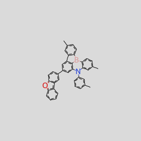 Cc1cccc(N2c3cc(C)ccc3B3c4ccc(C)cc4-c4cc(-c5ccc6oc7ccccc7c6c5)cc2c43)c1